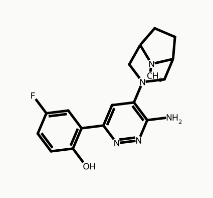 CN1C2CCC1CN(c1cc(-c3cc(F)ccc3O)nnc1N)C2